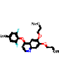 CNc1cc(F)c(Oc2ccnc3cc(OCCOC)c(OCCOC)cc23)c(F)c1